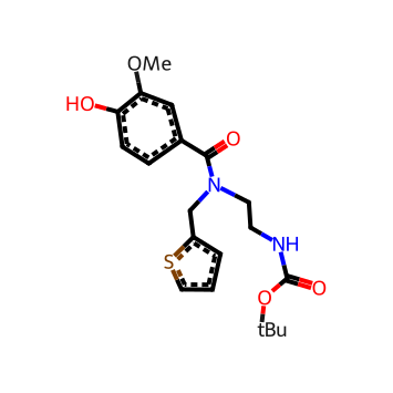 COc1cc(C(=O)N(CCNC(=O)OC(C)(C)C)Cc2cccs2)ccc1O